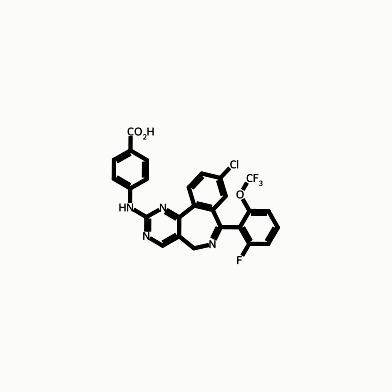 O=C(O)c1ccc(Nc2ncc3c(n2)-c2ccc(Cl)cc2C(c2c(F)cccc2OC(F)(F)F)=NC3)cc1